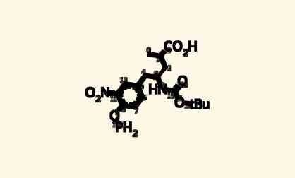 CC(C[C@H](Cc1ccc(OP)c([N+](=O)[O-])c1)NC(=O)OC(C)(C)C)C(=O)O